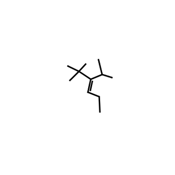 CC/C=C(\C(C)C)C(C)(C)C